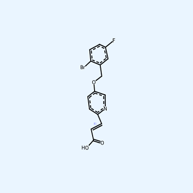 O=C(O)/C=C/c1ccc(OCc2cc(F)ccc2Br)cn1